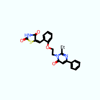 CCc1nc(-c2ccccc2)cc(=O)n1CCOc1ccccc1C=C1SC(=O)NC1=O